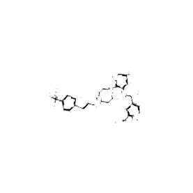 O=C(Nc1cc(Cl)cnc1N1CCN(CC=Cc2ccc(C(F)(F)F)cc2)CC1)c1ccnc(Cl)c1